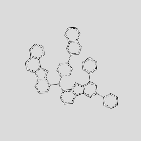 c1ccc(-c2cc(-c3ccccc3)c3sc4c(N(c5ccc(-c6ccc7ccccc7c6)cc5)c5cccc6c5oc5c7ccccc7ccc65)cccc4c3c2)cc1